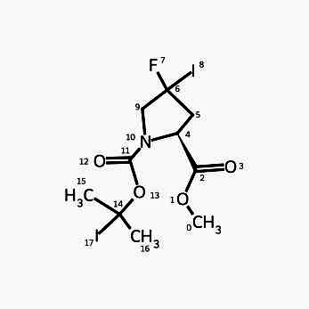 COC(=O)[C@@H]1CC(F)(I)CN1C(=O)OC(C)(C)I